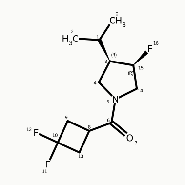 CC(C)[C@@H]1CN(C(=O)C2CC(F)(F)C2)C[C@@H]1F